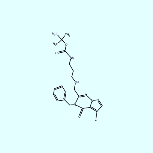 CC(C)(C)OC(=O)NCCCNCc1nn2ccc(Cl)c2c(=O)n1Cc1ccccc1